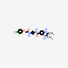 CC1Nc2ccc(C(=O)NC34CC(NC(=O)COc5ccc(Cl)c(F)c5)(C3)C4)cc2NC1C